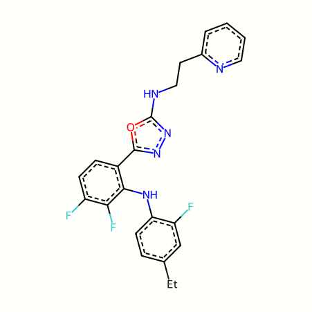 CCc1ccc(Nc2c(-c3nnc(NCCc4ccccn4)o3)ccc(F)c2F)c(F)c1